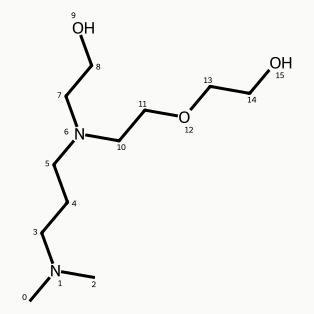 CN(C)CCCN(CCO)CCOCCO